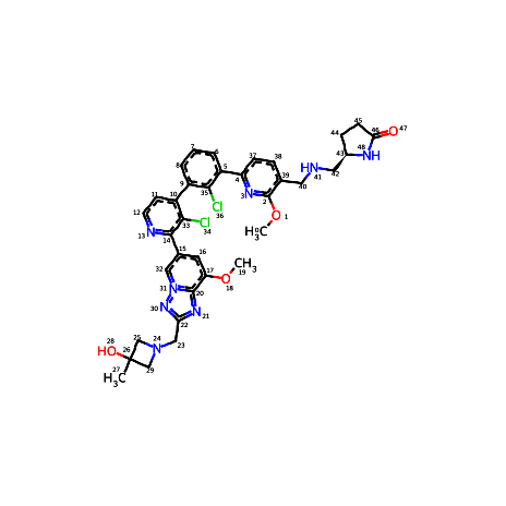 COc1nc(-c2cccc(-c3ccnc(-c4cc(OC)c5nc(CN6CC(C)(O)C6)nn5c4)c3Cl)c2Cl)ccc1CNC[C@H]1CCC(=O)N1